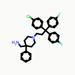 NCC1(c2ccccc2)CCN(CCC(c2ccc(F)cc2)(c2ccc(F)cc2)c2ccc(Cl)cc2)CC1